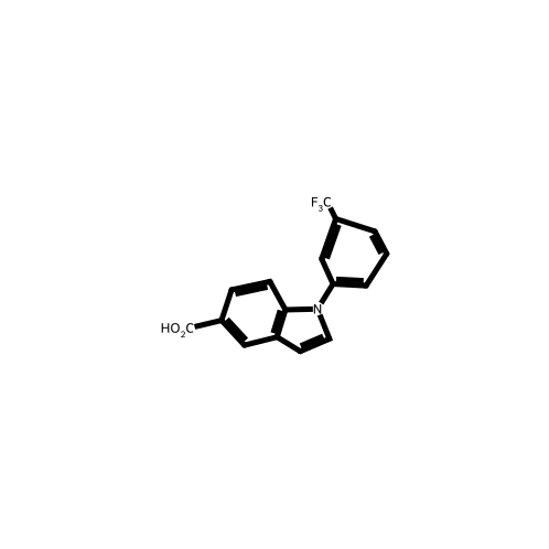 O=C(O)c1ccc2c(ccn2-c2cccc(C(F)(F)F)c2)c1